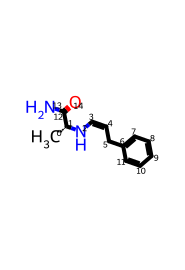 C[C@@H](N/C=C\Cc1ccccc1)C(N)=O